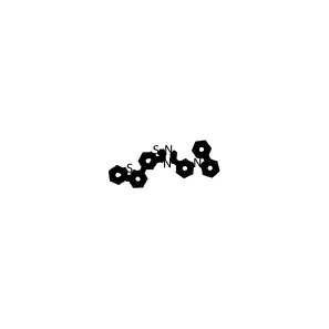 c1cc(-c2cnc3sc4ccc(-c5cccc6c5sc5ccccc56)cc4c3n2)cc(-n2c3ccccc3c3ccccc32)c1